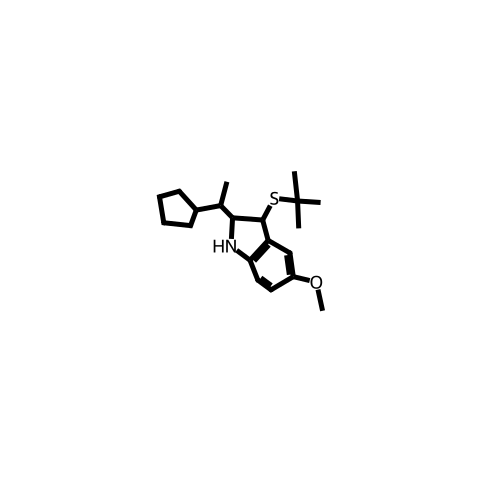 COc1ccc2c(c1)C(SC(C)(C)C)C(C(C)C1CCCC1)N2